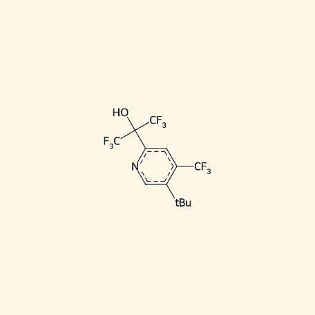 CC(C)(C)c1cnc(C(O)(C(F)(F)F)C(F)(F)F)cc1C(F)(F)F